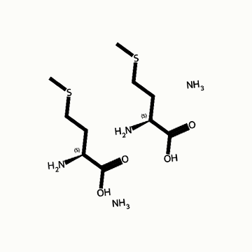 CSCC[C@H](N)C(=O)O.CSCC[C@H](N)C(=O)O.N.N